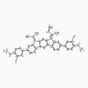 N#CC(C#N)=C1c2cc(-c3ccc(OC(F)(F)F)c(F)c3)ccc2-c2cc3c(cc21)/C(=C(/C#N)C=N)c1cc(-c2ccc(OC(F)(F)F)c(F)c2)ccc1-3